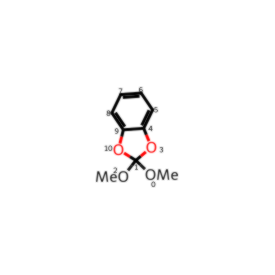 COC1(OC)Oc2ccccc2O1